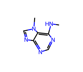 CNc1ncnc2ncn(C)c12